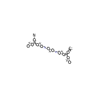 [C-]#[N+]c1ccc(N(c2ccc3c(c2)C(C)(C)c2ccccc2-3)c2ccc3c(c2)C(C)(C)c2cc(/C=C/c4ccc5c(c4)C(C)(C)c4cc(/C=C/c6ccc7c(c6)C(C)(C)c6cc(N(c8ccc(C#N)cc8)c8ccc9c(c8)C(C)(C)c8ccccc8-9)ccc6-7)ccc4-5)ccc2-3)cc1